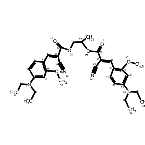 CCN(CC)c1ccc(/C=C(\C#N)C(=O)OCC(C)OC(=O)/C(C#N)=C/c2ccc(N(CC)CC)cc2OC)c(OC)c1